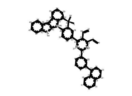 C=Cc1nc(-c2cccc(-c3cccc4ccccc34)c2)nc(-c2ccc3c(c2)C(C)(C)c2cccc4c5c6ccccc6sc5n-3c24)c1C=C